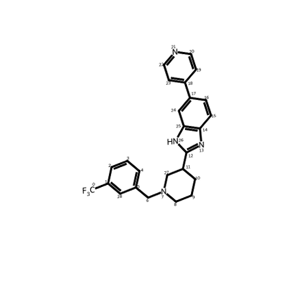 FC(F)(F)c1cccc(CN2CCCC(c3nc4ccc(-c5ccncc5)cc4[nH]3)C2)c1